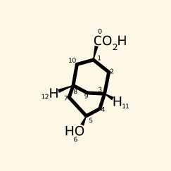 O=C(O)[C@H]1C[C@@H]2C[C@@H](O)C[C@@H](C2)C1